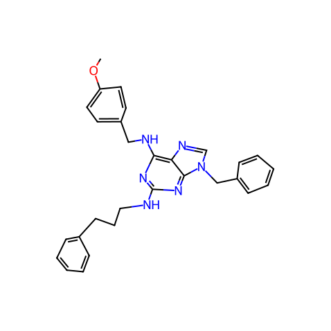 COc1ccc(CNc2nc(NCCCc3ccccc3)nc3c2ncn3Cc2ccccc2)cc1